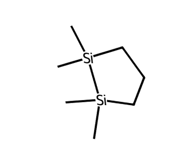 C[Si]1(C)CCC[Si]1(C)C